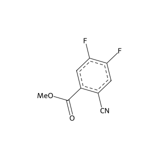 COC(=O)c1cc(F)c(F)cc1C#N